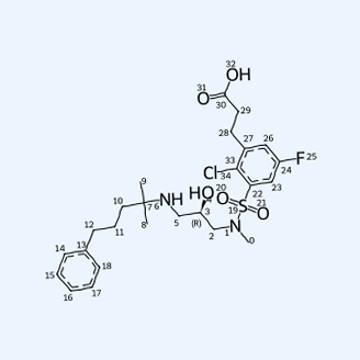 CN(C[C@H](O)CNC(C)(C)CCCc1ccccc1)S(=O)(=O)c1cc(F)cc(CCC(=O)O)c1Cl